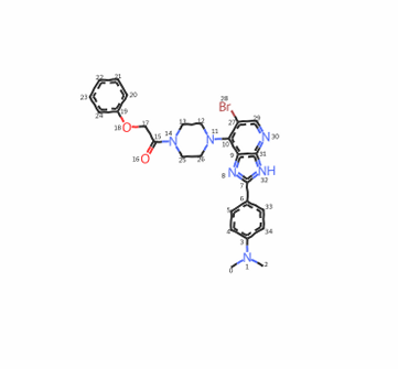 CN(C)c1ccc(-c2nc3c(N4CCN(C(=O)COc5ccccc5)CC4)c(Br)cnc3[nH]2)cc1